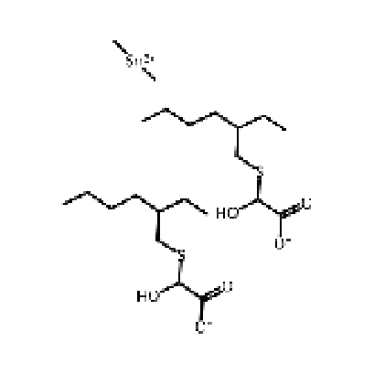 CCCCC(CC)CSC(O)C(=O)[O-].CCCCC(CC)CSC(O)C(=O)[O-].[CH3][Sn+2][CH3]